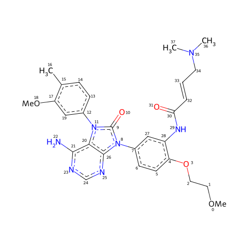 COCCOc1ccc(-n2c(=O)n(-c3ccc(C)c(OC)c3)c3c(N)ncnc32)cc1NC(=O)/C=C/CN(C)C